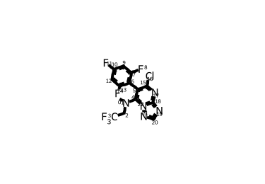 CN(CC(F)(F)F)c1c(-c2c(F)cc(F)cc2F)c(Cl)nc2ncnn12